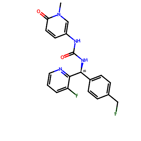 Cn1cc(NC(=O)N[C@@H](c2ccc(CF)cc2)c2ncccc2F)ccc1=O